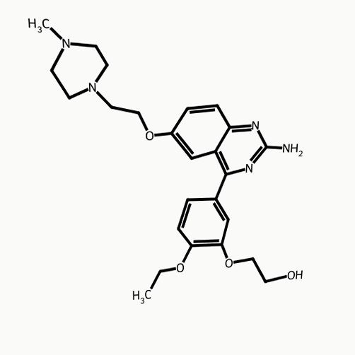 CCOc1ccc(-c2nc(N)nc3ccc(OCCN4CCN(C)CC4)cc23)cc1OCCO